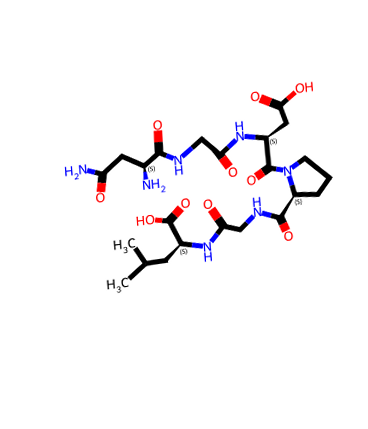 CC(C)C[C@H](NC(=O)CNC(=O)[C@@H]1CCCN1C(=O)[C@H](CC(=O)O)NC(=O)CNC(=O)[C@@H](N)CC(N)=O)C(=O)O